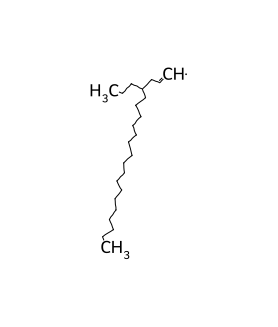 [CH]=CCC(CCC)CCCCCCCCCCCCCCCCC